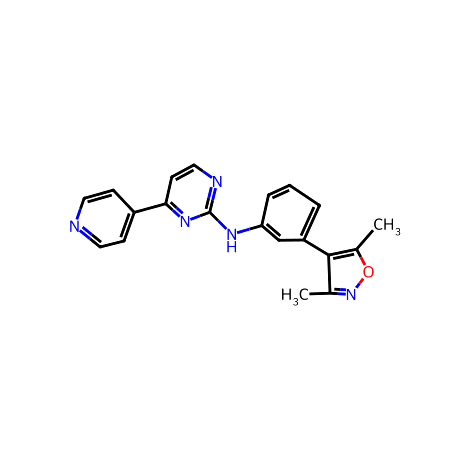 Cc1noc(C)c1-c1cccc(Nc2nccc(-c3ccncc3)n2)c1